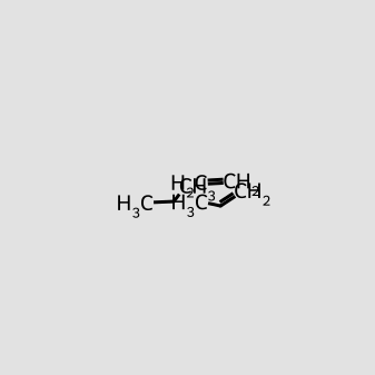 C=C.C=CC.CCC